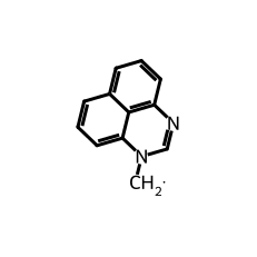 [CH2]N1C=Nc2cccc3cccc1c23